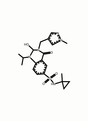 CC(C)N1c2ccc(S(=O)(=O)NC3(C)CC3)cc2C(=O)N(Cc2cnn(C)c2)C1O